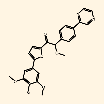 COc1cc(-c2ccc(C(=O)C(OC)c3ccc(-c4cnccn4)cc3)o2)cc(OC)c1Br